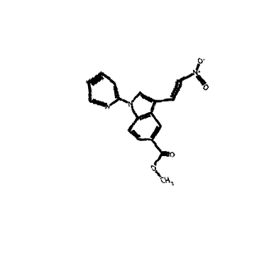 COC(=O)c1ccc2c(c1)c(/C=C/[N+](=O)[O-])cn2-c1ccccn1